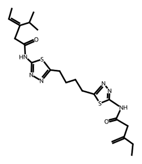 C=C(CC)CC(=O)Nc1nnc(CCCCc2nnc(NC(=O)C/C(=C/C)C(C)C)s2)s1